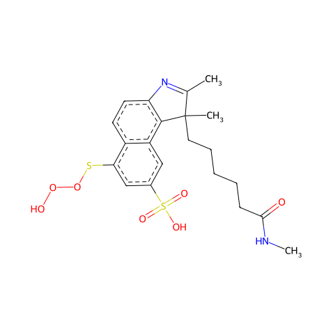 CNC(=O)CCCCCC1(C)C(C)=Nc2ccc3c(SOOO)cc(S(=O)(=O)O)cc3c21